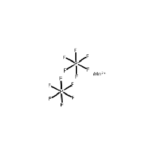 F[P-](F)(F)(F)(F)F.F[P-](F)(F)(F)(F)F.[Mn+2]